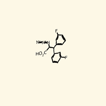 [N-]=[N+]=NC(C(=O)O)C(c1cccc(F)c1)c1cccc(F)c1